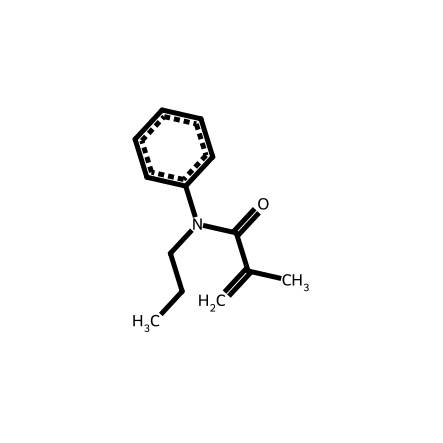 C=C(C)C(=O)N(CCC)c1ccccc1